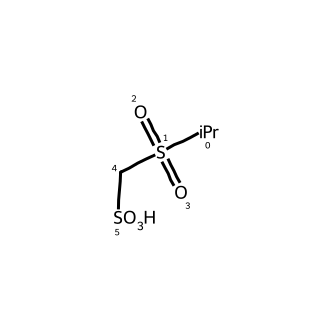 CC(C)S(=O)(=O)CS(=O)(=O)O